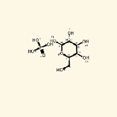 O=P(O)(O)O.OC[C@H]1O[C@@H](O)[C@H](O)[C@@H](O)[C@H]1O